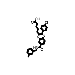 Cc1cccc(CNC(=O)c2ccc3nc(-c4ccc(Cl)cc4)c(CCCCC(=O)O)nc3c2)c1